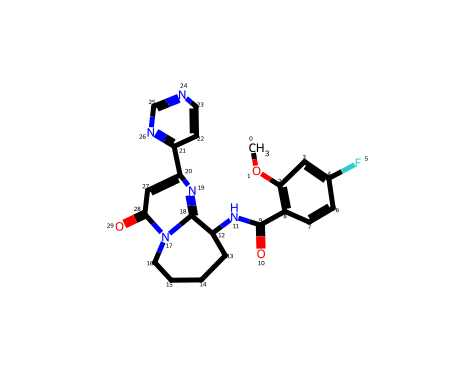 COc1cc(F)ccc1C(=O)NC1CCCCn2c1nc(-c1ccncn1)cc2=O